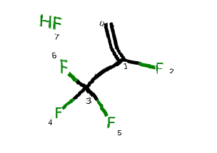 C=C(F)C(F)(F)F.F